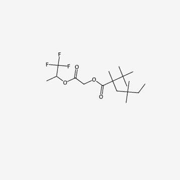 CCC(C)(C)CC(C)(C(=O)OCC(=O)OC(C)C(F)(F)F)C(C)(C)C